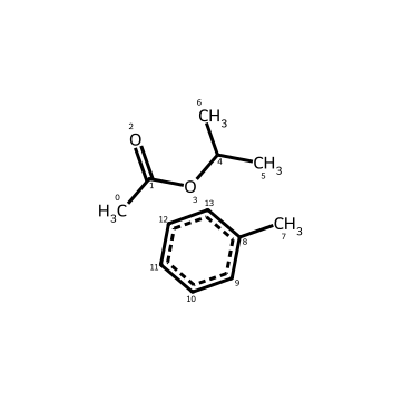 CC(=O)OC(C)C.Cc1ccccc1